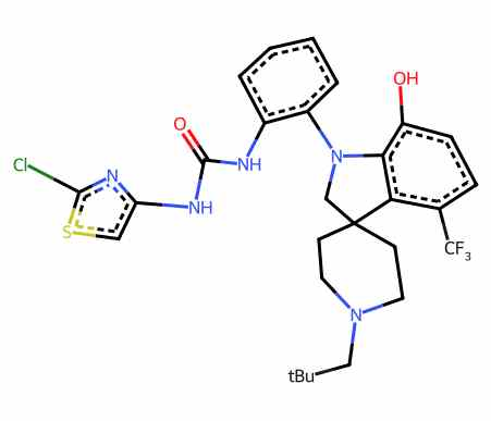 CC(C)(C)CN1CCC2(CC1)CN(c1ccccc1NC(=O)Nc1csc(Cl)n1)c1c(O)ccc(C(F)(F)F)c12